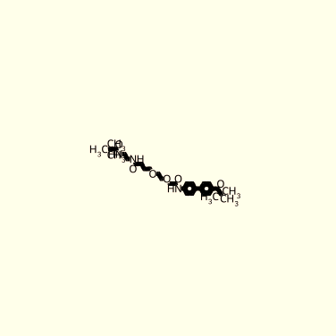 CC(C)(C)C(=O)NCCNC(=O)CCCOCCOCC(=O)Nc1ccc(-c2ccc(C(=O)C(C)(C)C)cc2)cc1